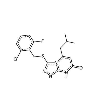 CC(C)Cc1cc(=O)[nH]c2nnc(SCc3c(F)cccc3Cl)n12